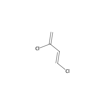 C=C(Cl)/C=C/Cl